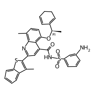 Cc1c(-c2cc(C(=O)NS(=O)(=O)c3cccc(N)c3)c3c(O[C@H](C)C4=CCCC=C4)ccc(C)c3n2)sc2ccccc12